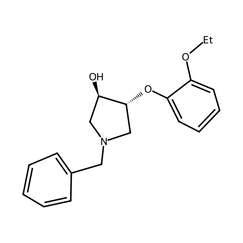 CCOc1ccccc1O[C@@H]1CN(Cc2ccccc2)C[C@H]1O